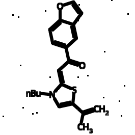 C=C(C)C1=CN(CCCC)/C(=C/C(=O)c2ccc3occc3c2)S1